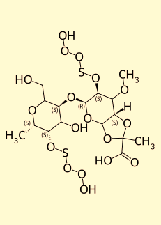 COC1[C@@H]2OC(C)(C(=O)O)OC2O[C@@H](O[C@@H]2C(CO)O[C@@H](C)[C@@H](OSOOO)C2O)[C@H]1OSOOO